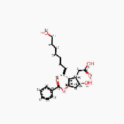 O=C(O)C[C@@H]1[C@@H](C=CCCCCCCO)[C@H](OC(=O)c2ccccc2)C[C@@H]1O